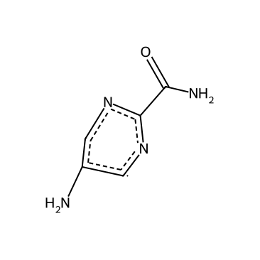 NC(=O)c1n[c]c(N)cn1